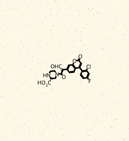 O=C[C@H](C(=O)N1CCN[C@@H](C(=O)O)C1)c1ccc2c(-c3ccc(F)cc3Cl)cc(=O)oc2c1